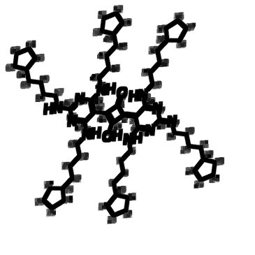 O=C1C(=C2C(NCCCCC3CCCC3)=NC(=NCCCCC3CCCC3)N=C2NCCCCC2CCCC2)C(O)=C1c1c(NCCCCC2CCCC2)nc(NCCCCC2CCCC2)nc1NCCCCC1CCCC1